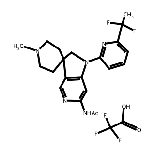 CC(=O)Nc1cc2c(cn1)C1(CCN(C)CC1)CN2c1cccc(C(C)(F)F)n1.O=C(O)C(F)(F)F